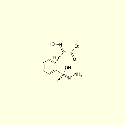 CCC(=O)C(C)=NO.NN=S(=O)(O)c1ccccc1